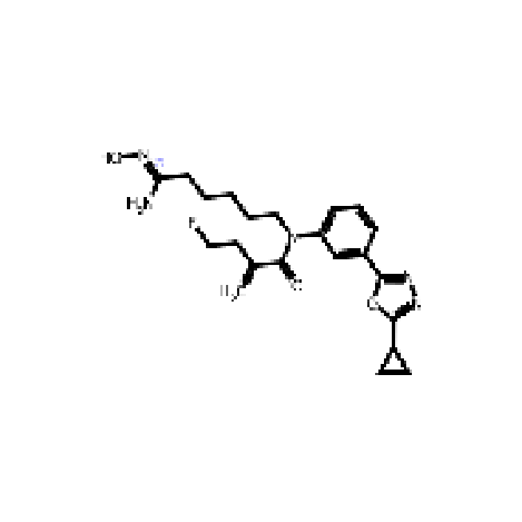 C=C(CCF)C(=O)N(CCCCC/C(N)=N/O)c1cccc(-c2nnc(C3CC3)o2)c1